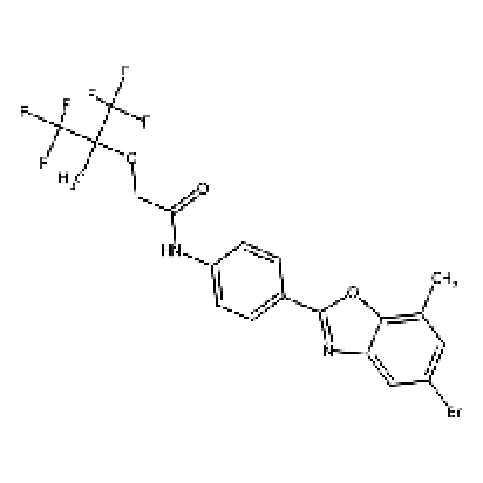 Cc1cc(Br)cc2nc(-c3ccc(NC(=O)COC(C)(C(F)(F)F)C(F)(F)F)cc3)oc12